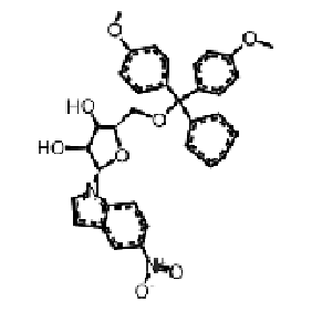 COc1ccc(C(OC[C@H]2O[C@@H](n3ccc4cc([N+](=O)[O-])ccc43)[C@@H](O)C2O)(c2ccccc2)c2ccc(OC)cc2)cc1